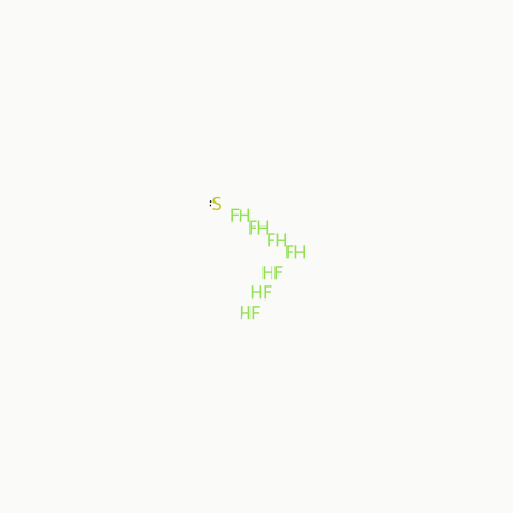 F.F.F.F.F.F.F.[S]